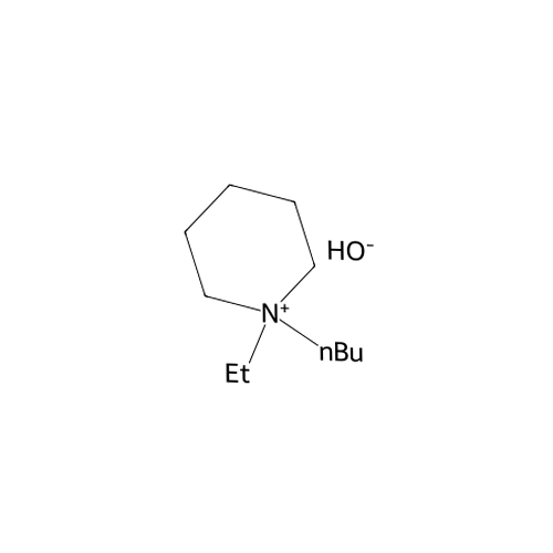 CCCC[N+]1(CC)CCCCC1.[OH-]